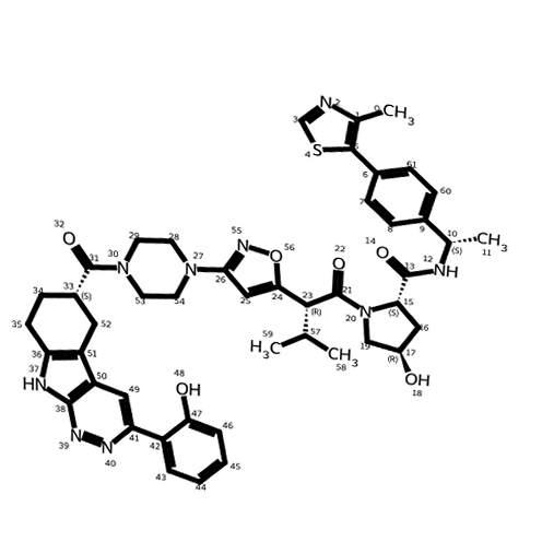 Cc1ncsc1-c1ccc([C@H](C)NC(=O)[C@@H]2C[C@@H](O)CN2C(=O)[C@@H](c2cc(N3CCN(C(=O)[C@H]4CCc5[nH]c6nnc(-c7ccccc7O)cc6c5C4)CC3)no2)C(C)C)cc1